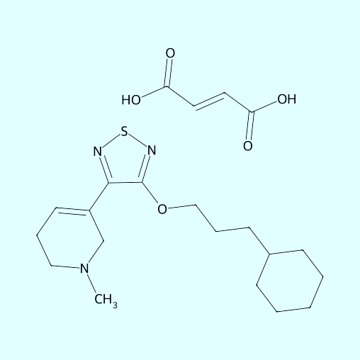 CN1CCC=C(c2nsnc2OCCCC2CCCCC2)C1.O=C(O)C=CC(=O)O